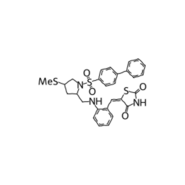 CSC1CC(CNc2ccccc2/C=C2/SC(=O)NC2=O)N(S(=O)(=O)c2ccc(-c3ccccc3)cc2)C1